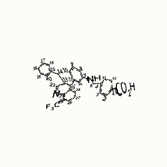 O=C(O)c1ccc(CNc2cccc(-c3c(Cc4ccccc4)cnc4c(C(F)(F)F)cccc34)c2)cc1